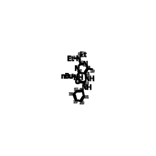 CCCCNc1nc(N(CC)CC)nc(C)c1NC(=O)Nc1ccccc1